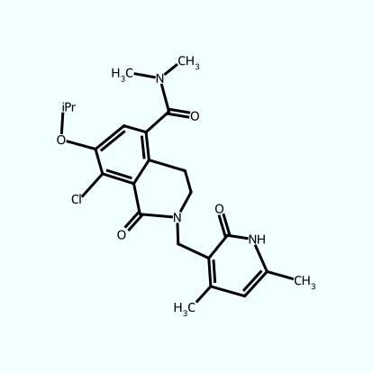 Cc1cc(C)c(CN2CCc3c(C(=O)N(C)C)cc(OC(C)C)c(Cl)c3C2=O)c(=O)[nH]1